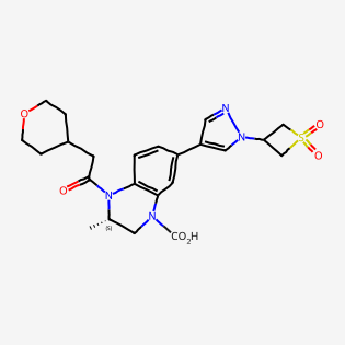 C[C@H]1CN(C(=O)O)c2cc(-c3cnn(C4CS(=O)(=O)C4)c3)ccc2N1C(=O)CC1CCOCC1